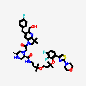 C[C@@H]1CN(CC(=O)N2CC(C)(C)c3nc(CO)c(Cc4ccc(F)cc4)cc32)[C@@H](C(=O)NCCC(C)(C)OCCC(C)(C)Oc2c(-c3csc(N4CCOCC4)n3)ccc(F)c2F)CN1